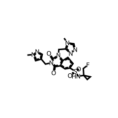 Cn1cc(Cn2c(=O)c3cc(S(=O)(=O)NC4(CF)CC4)ccc3n(Cc3nncn3C)c2=O)cn1